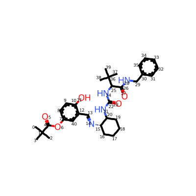 CC(C)(C)C(=O)Oc1ccc(O)c(/C=N/[C@H]2CCCCC2NC(=O)NC(C(=O)NCc2ccccc2)C(C)(C)C)c1